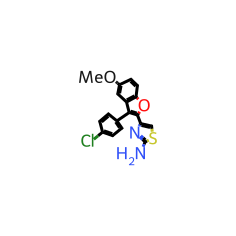 COc1ccc2oc(-c3csc(N)n3)c(-c3ccc(Cl)cc3)c2c1